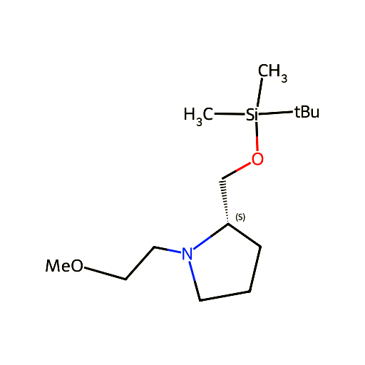 COCCN1CCC[C@H]1CO[Si](C)(C)C(C)(C)C